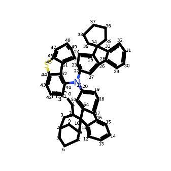 CCC1CC2CCCC(C2)C12c1ccccc1-c1ccc(N(c3ccc4c(c3)-c3ccccc3C43CCCCC3)c3cccc4sc5ccccc5c34)cc12